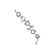 C[C@H]1CN(c2ccc(F)cn2)CCN1c1ncc(NC(=O)c2ccc(-c3cnn(CCF)c3)nc2)cn1